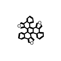 c1ccc2c(c1)c1cocc1c1c2c2c3cocc3c3ccccc3c2c2c3cocc3c3ccccc3c12